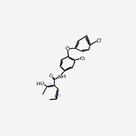 C/C=C\C(C(=O)Nc1ccc(Oc2ccc(Cl)cc2)c(Cl)c1)=C(/C)O